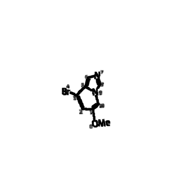 COc1cc(Br)c2cncn2c1